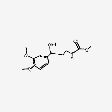 COC(=O)NCCC(O)c1ccc(OC)c(OC)c1